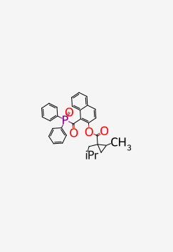 CC(C)CC1(C(=O)Oc2ccc3ccccc3c2C(=O)P(=O)(c2ccccc2)c2ccccc2)CC1C